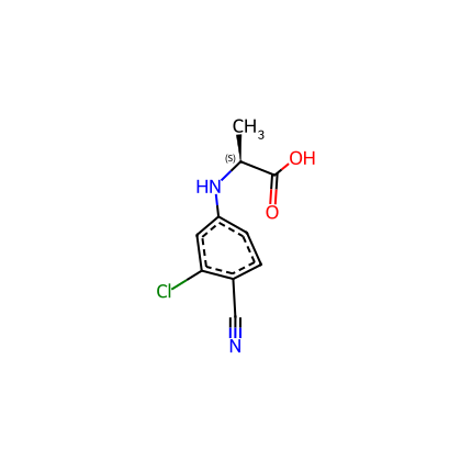 C[C@H](Nc1ccc(C#N)c(Cl)c1)C(=O)O